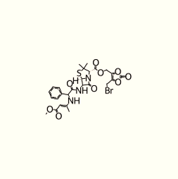 COC(=O)C=C(C)NC(C(=O)N[C@@H]1C(=O)N2[C@@H]1SC(C)(C)[C@@H]2C(=O)OCc1oc(=O)oc1CBr)c1ccccc1